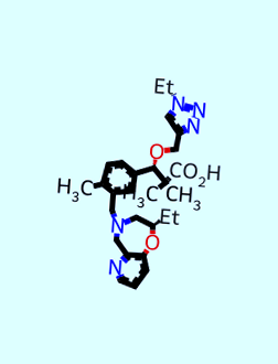 CC[C@@H]1CN(Cc2cc([C@@H](OCc3cn(CC)nn3)C(C)(C)C(=O)O)ccc2C)Cc2ncccc2O1